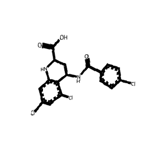 O=C(NC1CC(C(=O)O)Nc2cc(Cl)cc(Cl)c21)c1ccc(Cl)cc1